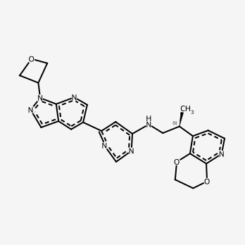 C[C@H](CNc1cc(-c2cnc3c(cnn3C3COC3)c2)ncn1)c1ccnc2c1OCCO2